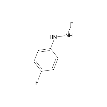 FNNc1ccc(F)cc1